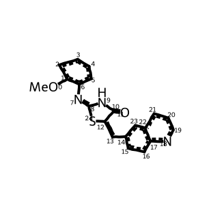 COc1ccccc1N=C1NC(=O)C(=Cc2ccc3ncccc3c2)S1